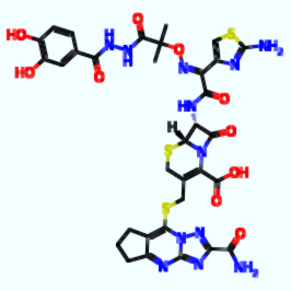 CC(C)(ON=C(C(=O)N[C@@H]1C(=O)N2C(C(=O)O)=C(CSc3c4c(nc5nc(C(N)=O)nn35)CCC4)CS[C@H]12)c1csc(N)n1)C(=O)NNC(=O)c1ccc(O)c(O)c1